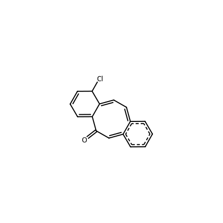 O=C1/C=c2/cccc/c2=C/C=C2\C1=CC=CC2Cl